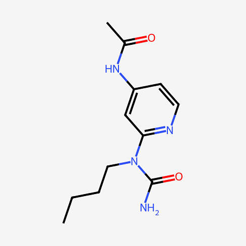 CCCCN(C(N)=O)c1cc(NC(C)=O)ccn1